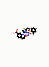 CCC1SC=C(n2c(=O)ccc3ccc(C(=O)O)cc32)N1NS(=O)(=O)c1ccccc1C